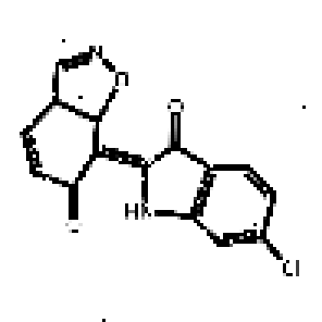 O=C1C=CC2C=NOC2/C1=C1/Nc2cc(Cl)ccc2C1=O